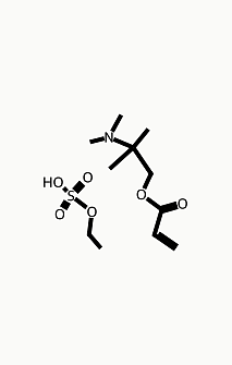 C=CC(=O)OCC(C)(C)N(C)C.CCOS(=O)(=O)O